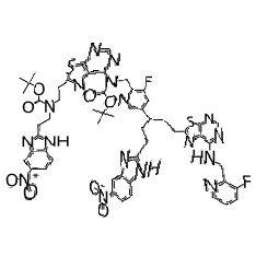 CC(C)(C)OC(=O)N(CCc1nc2cc([N+](=O)[O-])ccc2[nH]1)CCc1nc2c(N(Cc3ncc(C(CCc4nc5cc([N+](=O)[O-])ccc5[nH]4)CCc4nc5c(NCc6ncccc6F)ncnc5s4)cc3F)C(=O)OC(C)(C)C)ncnc2s1